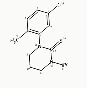 Cc1ccc(Cl)cc1N1CCCN(C(C)C)C1=S